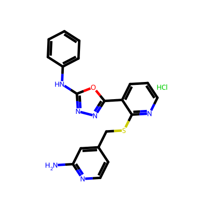 Cl.Nc1cc(CSc2ncccc2-c2nnc(Nc3ccccc3)o2)ccn1